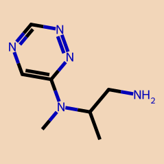 CC(CN)N(C)c1cncnn1